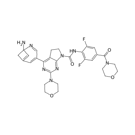 NC12C=C(C=C(c3nc(N4CCOCC4)nc4c3CCN4C(=O)Nc3c(F)cc(C(=O)N4CCOCC4)cc3F)C=N1)C2